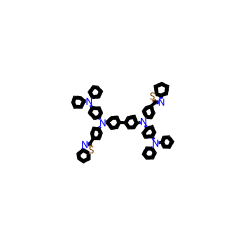 c1ccc(N(c2ccccc2)c2ccc(N(c3ccc(-c4ccc(N(c5ccc(-c6nc7ccccc7s6)cc5)c5ccc(N(c6ccccc6)c6ccccc6)cc5)cc4)cc3)c3ccc(-c4nc5ccccc5s4)cc3)cc2)cc1